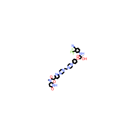 CN(C(=O)Cc1ccc(N2CCN(CCN3CCN(c4ccc(OC[C@](C)(O)C(=O)Nc5ccc(C#N)c(C(F)(F)F)c5)cc4)CC3)CC2)nc1)C1CCC(=O)NC1=O